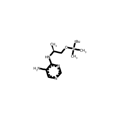 C[C@@H](CO[Si](C)(C)C(C)(C)C)Nc1ncncc1N